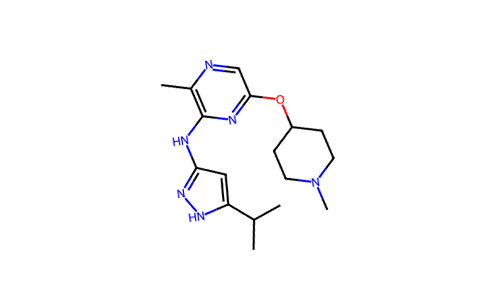 Cc1ncc(OC2CCN(C)CC2)nc1Nc1cc(C(C)C)[nH]n1